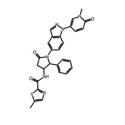 Cc1cnc(C(=O)NC2CC(=O)N(c3ccc4c(cnn4-c4ccc(=O)n(C)c4)c3)C2c2ccccc2)s1